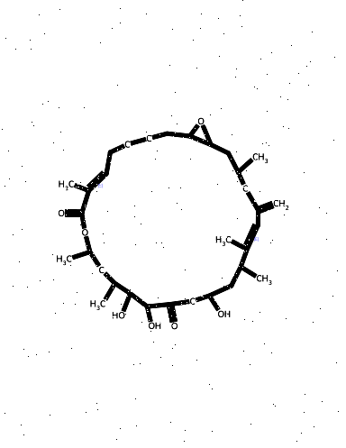 C=C1/C=C(\C)C(C)CC(O)CC(=O)C(O)C(O)C(C)CC(C)OC(=O)/C(C)=C/CCCCC2OC2CC(C)C1